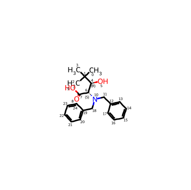 CC(C)(C)[C@@H](O)[C@@H](C(=O)O)N(Cc1ccccc1)Cc1ccccc1